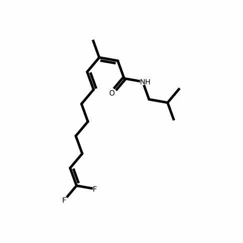 CC(C=CCCCCC=C(F)F)=CC(=O)NCC(C)C